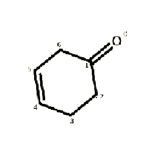 O=C1[CH]CC=CC1